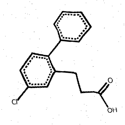 O=C(O)CCc1cc(Cl)ccc1-c1ccccc1